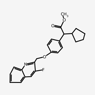 COC(=O)C(c1ccc(OCc2nc3ccccc3cc2F)cc1)C1CCCC1